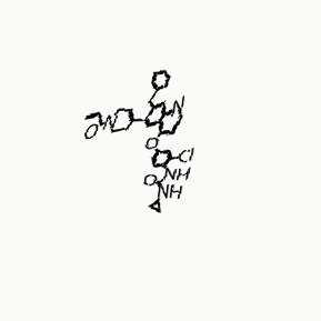 C=CC(=O)N1CC=C(c2cc3c(Oc4ccc(NC(=O)NC5CC5)c(Cl)c4)ccnc3cc2Cc2ccccc2)CC1